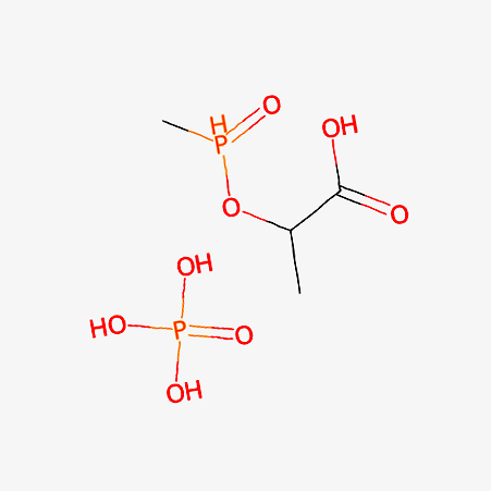 CC(O[PH](C)=O)C(=O)O.O=P(O)(O)O